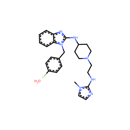 Cn1ccnc1NCCN1CCC(Nc2nc3ccccc3n2Cc2ccc(F)cc2)CC1.O